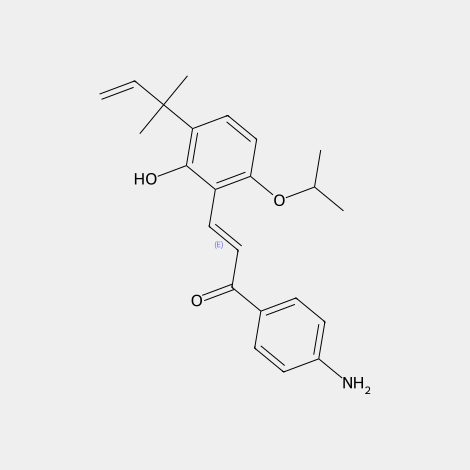 C=CC(C)(C)c1ccc(OC(C)C)c(/C=C/C(=O)c2ccc(N)cc2)c1O